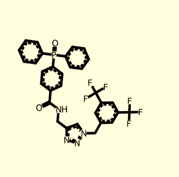 O=C(NCc1cn(Cc2cc(C(F)(F)F)cc(C(F)(F)F)c2)nn1)c1ccc(P(=O)(c2ccccc2)c2ccccc2)cc1